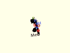 COCCOCCN(Cc1ccccc1)C(=O)C(=O)Nc1cnc2c(F)cccc2c1